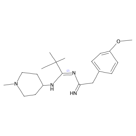 COc1ccc(CC(=N)/N=C(\NC2CCN(C)CC2)C(C)(C)C)cc1